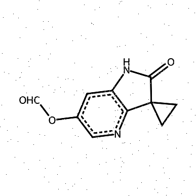 O=COc1cnc2c(c1)NC(=O)C21CC1